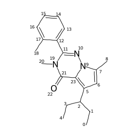 CCC(CC)c1cc(C)n2nc(-c3ccccc3C)n(C)c(=O)c12